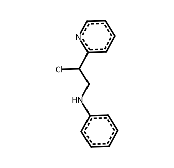 ClC(CNc1ccccc1)c1ccccn1